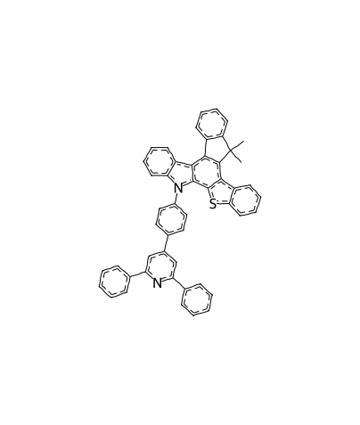 CC1(C)c2ccccc2-c2c1c1c3ccccc3sc1c1c2c2ccccc2n1-c1ccc(-c2cc(-c3ccccc3)nc(-c3ccccc3)c2)cc1